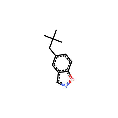 CC(C)(C)Cc1ccc2oncc2c1